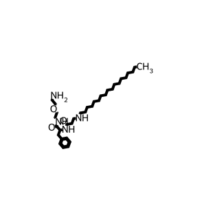 CCCCCCCCCCCCCCCCCCNCCC(=O)NC(Cc1ccccc1)C(=O)NCCOCCN